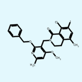 COc1cc(C)nc(OCc2ccccc2)c1CN1CCc2c(C)cc(I)c(Cl)c2C1=O